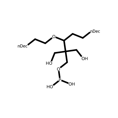 CCCCCCCCCCCCOC(CCCCCCCCCCCC)C(CO)(CO)COP(O)O